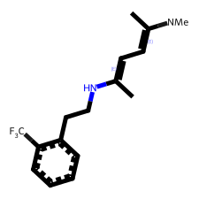 CN/C(C)=C/C=C(\C)NCCc1ccccc1C(F)(F)F